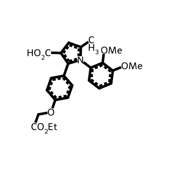 CCOC(=O)COc1ccc(-c2c(C(=O)O)cc(C)n2-c2cccc(OC)c2OC)cc1